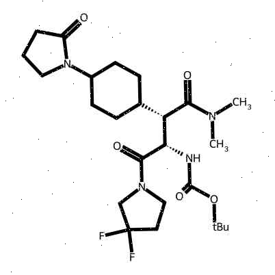 CN(C)C(=O)[C@@H](C1CCC(N2CCCC2=O)CC1)[C@H](NC(=O)OC(C)(C)C)C(=O)N1CCC(F)(F)C1